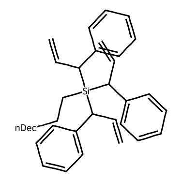 C=CC(c1ccccc1)[Si](CCCCCCCCCCCC)(C(C=C)c1ccccc1)C(C=C)c1ccccc1